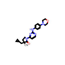 N#CC1(CC2CC2)CCN(c2ccnc(Nc3ccc(N4CCOCC4)cc3)n2)C1=O